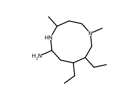 CCC1CC(N)NC(C)CCN(C)CC1CC